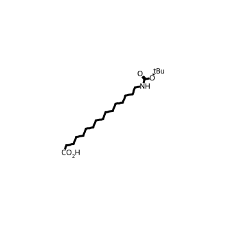 CC(C)(C)OC(=O)NCCCCCCCCCCCCCCCC(=O)O